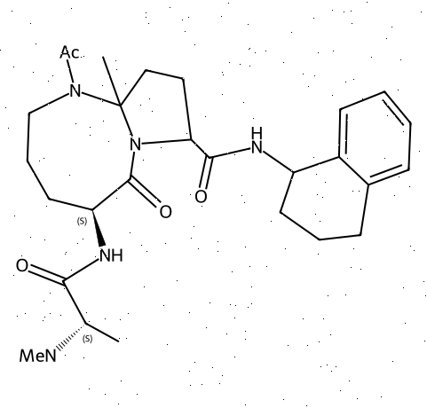 CN[C@@H](C)C(=O)N[C@H]1CCCN(C(C)=O)C2(C)CCC(C(=O)NC3CCCc4ccccc43)N2C1=O